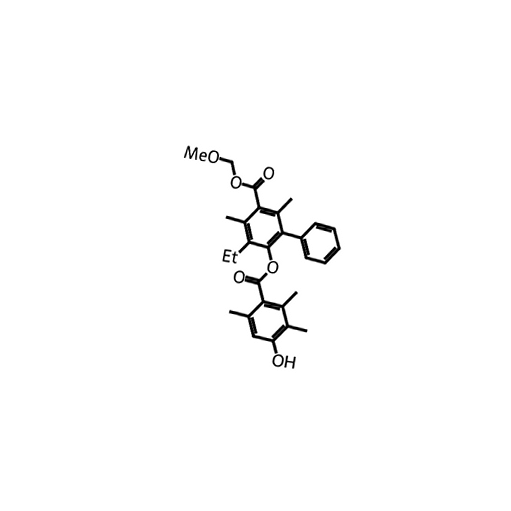 CCc1c(C)c(C(=O)OCOC)c(C)c(-c2ccccc2)c1OC(=O)c1c(C)cc(O)c(C)c1C